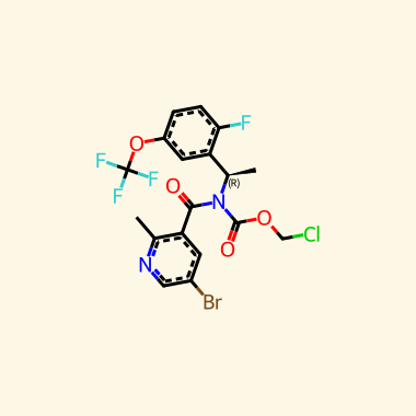 Cc1ncc(Br)cc1C(=O)N(C(=O)OCCl)[C@H](C)c1cc(OC(F)(F)F)ccc1F